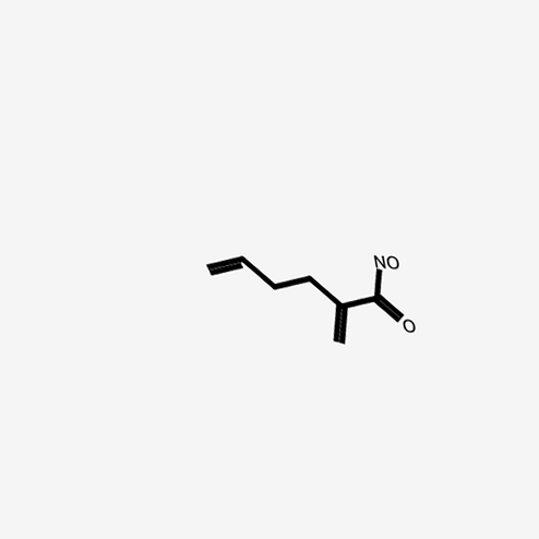 C=CCCC(=C)C(=O)N=O